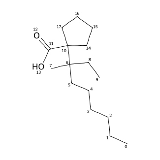 CCCCCCC(C)(CC)C1(C(=O)O)CCCC1